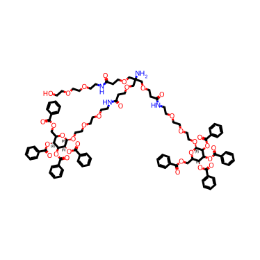 NC(COCCC(=O)NCCOCCOCCO)(COCCC(=O)NCCOCCOCCO[C@@H]1OC(COC(=O)c2ccccc2)[C@@H](OC(=O)c2ccccc2)C(OC(=O)c2ccccc2)C1OC(=O)c1ccccc1)COCCC(=O)NCCOCCOCCO[C@@H]1OC(COC(=O)c2ccccc2)[C@@H](OC(=O)c2ccccc2)C(OC(=O)c2ccccc2)[C@H]1OC(=O)c1ccccc1